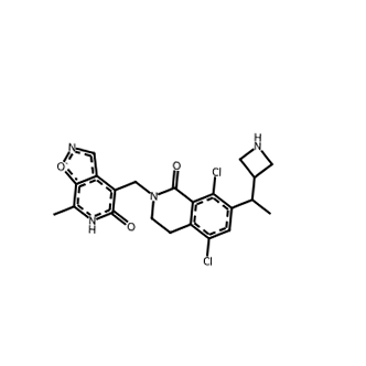 Cc1[nH]c(=O)c(CN2CCc3c(Cl)cc(C(C)C4CNC4)c(Cl)c3C2=O)c2cnoc12